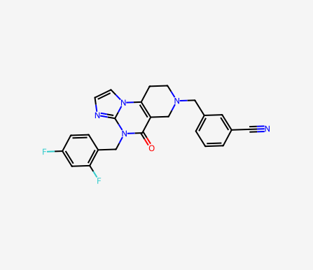 N#Cc1cccc(CN2CCc3c(c(=O)n(Cc4ccc(F)cc4F)c4nccn34)C2)c1